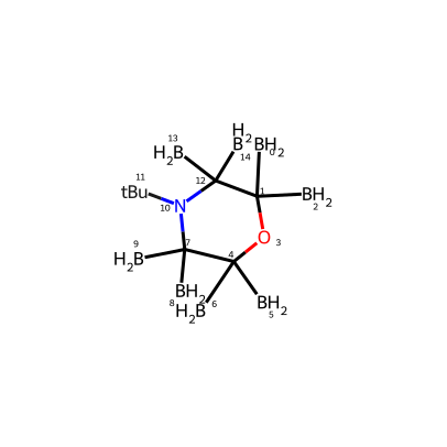 BC1(B)OC(B)(B)C(B)(B)N(C(C)(C)C)C1(B)B